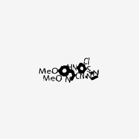 COc1ccc2c(Nc3ccc(Sc4nccn4C)c(Cl)c3)c(C#N)cnc2c1OC